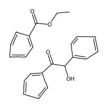 CCOC(=O)c1ccccc1.O=C(c1ccccc1)C(O)c1ccccc1